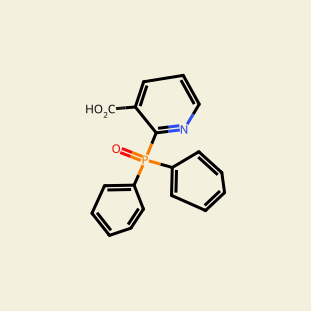 O=C(O)c1cccnc1P(=O)(c1ccccc1)c1ccccc1